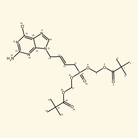 CC(C)(C)C(=O)OCOP(=O)(C/C=C/Cn1cnc2c(Cl)nc(N)nc21)OCOC(=O)C(C)(C)C